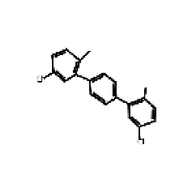 Clc1ccc(I)c(-c2ccc(-c3cc(Cl)ccc3I)cc2)c1